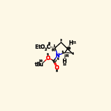 CCOC(=O)[C@@H]1C[C@H]2C[C@H]2N1C(=O)OC(C)(C)C